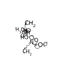 C=CCCCCN1C[C@@]2(CCCc3cc(Cl)ccc32)COc2ccc(C(O)(CS(=O)(=O)N(C)CC=C)C(=O)O)cc21